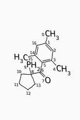 Cc1cc(C)c(C(=O)C2(P)CCCC2)c(C)c1